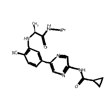 CC(C)NC(=O)[C@H](C)Nc1cc(-c2cnc(NC(=O)C3CC3)cn2)ccc1C#N